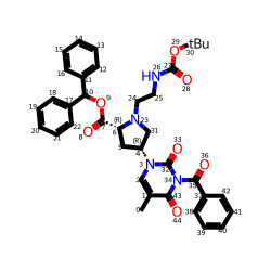 Cc1cn([C@@H]2C[C@H](C(=O)OC(c3ccccc3)c3ccccc3)N(CCNC(=O)OC(C)(C)C)C2)c(=O)n(C(=O)c2ccccc2)c1=O